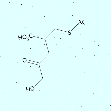 CC(=O)SCC(CC(=O)CO)C(=O)O